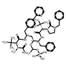 CC(O[C@@H](C[C@H](Cc1ccc(-c2ccccn2)cc1)NC(=O)[C@@H](N(C)C(=O)O)C(C)(C)C)[C@H](Cc1ccccc1)NC(=O)[C@@H](N1CCN(Cc2ccccc2)C1=O)C(C)(C)C)O[PH](O)(O)O